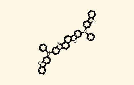 c1ccc(N(c2ccc3c(c2)oc2ccccc23)c2ccc3c(c2)sc2c3ccc3c2ccc2c4ccc(N(c5ccccc5)c5ccc6c(c5)oc5ccccc56)cc4sc23)cc1